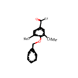 CCC(=O)c1cc(OC)c(OCc2ccccc2)c(OC)c1